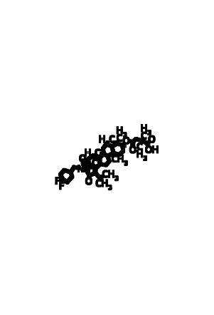 CC(C)C1=C2C3CCC4[C@@]5(C)CC[C@H](OC(=O)CC(C)(C)C(=O)O)C(C)(C)C5CC[C@@]4(C)[C@]3(C)CC[C@@]2(C(=O)NCC2CCC(F)(F)CC2)CC1=O